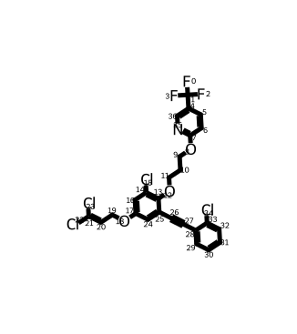 FC(F)(F)c1ccc(OCCCOc2c(Cl)cc(OCC=C(Cl)Cl)cc2C#Cc2ccccc2Cl)nc1